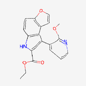 CCOC(=O)c1[nH]c2ccc3occc3c2c1-c1cccnc1OC